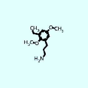 CCc1cc(OC)cc(CCCN)c1OC